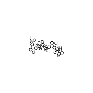 O=C1NCc2cc(-c3cccc(Cl)c3-c3ccc4c(=O)n(-c5c[n+](-c6noc7ccc(-c8cccc(Cl)c8-c8ccc9c(=O)n(-c%10cncc%11ccccc%10%11)c(=O)[nH]c9c8)cc67)cc6ccccc56)c(=O)[nH]c4c3)ccc21